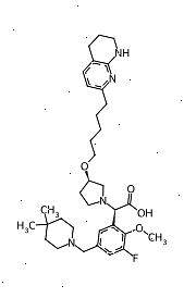 COc1c(F)cc(CN2CCC(C)(C)CC2)cc1[C@H](C(=O)O)N1CC[C@@H](OCCCCCc2ccc3c(n2)NCCC3)C1